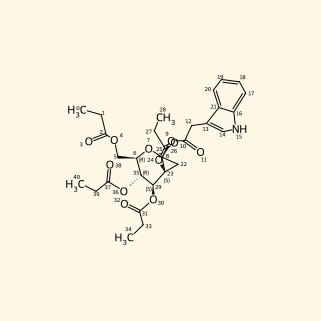 CCC(=O)OC[C@H]1O[C@]2(OC(=O)Cc3c[nH]c4ccccc34)C[C@]2(OC(=O)CC)[C@@H](OC(=O)CC)[C@@H]1OC(=O)CC